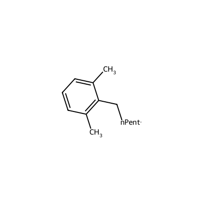 CCCC[CH]Cc1c(C)cccc1C